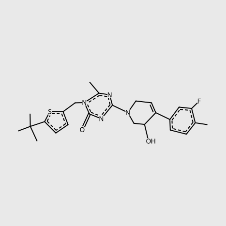 Cc1ccc(C2=CCN(c3nc(C)n(Cc4ccc(C(C)(C)C)s4)c(=O)n3)CC2O)cc1F